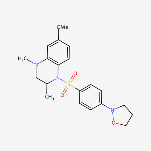 COc1ccc2c(c1)N(C)CC(C)N2S(=O)(=O)c1ccc(N2CCCO2)cc1